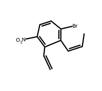 C=Cc1c([N+](=O)[O-])ccc(Br)c1/C=C\C